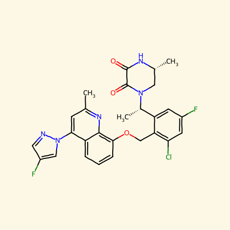 Cc1cc(-n2cc(F)cn2)c2cccc(OCc3c(Cl)cc(F)cc3[C@H](C)N3C[C@@H](C)NC(=O)C3=O)c2n1